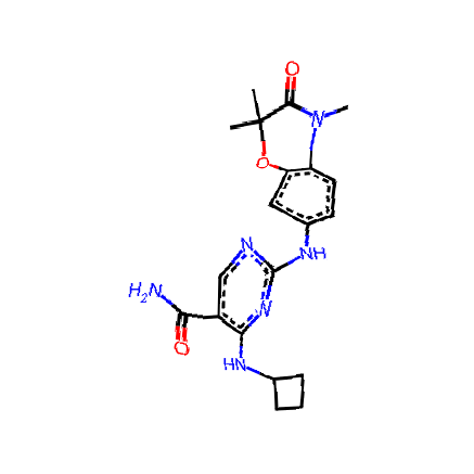 CN1C(=O)C(C)(C)Oc2cc(Nc3ncc(C(N)=O)c(NC4CCC4)n3)ccc21